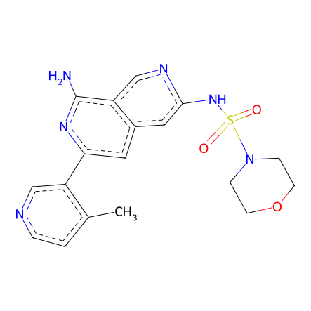 Cc1ccncc1-c1cc2cc(NS(=O)(=O)N3CCOCC3)ncc2c(N)n1